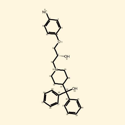 N#Cc1ccc(OC[C@H](O)CN2CCC(C(O)(c3ccccc3)c3ccccc3)CC2)cc1